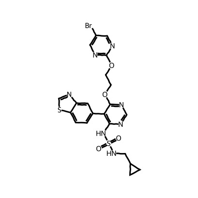 O=S(=O)(NCC1CC1)Nc1ncnc(OCCOc2ncc(Br)cn2)c1-c1ccc2scnc2c1